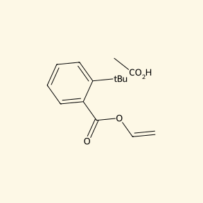 C=COC(=O)c1ccccc1C(C)(C)C.CC(=O)O